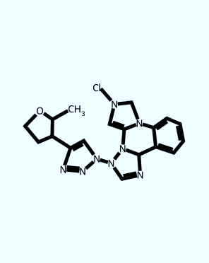 CC1OCCC1c1cn(N2C=NC3c4ccccc4N4CN(Cl)C=C4N32)nn1